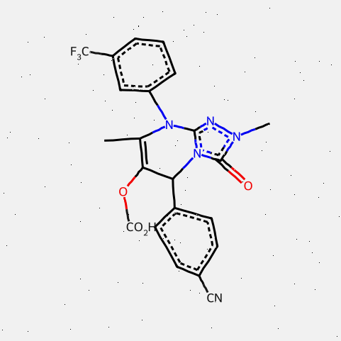 CC1=C(OC(=O)O)C(c2ccc(C#N)cc2)n2c(nn(C)c2=O)N1c1cccc(C(F)(F)F)c1